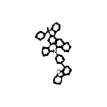 CC1(c2ccccc2)c2ccccc2-c2ccc(-c3ccccc3N(c3ccc(-c4cccc5c4oc4ccccc45)cc3)c3cccc4ccccc34)cc21